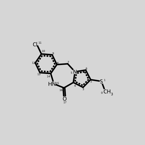 CSc1cc2n(c1)Cc1cc(Cl)ccc1NC2=O